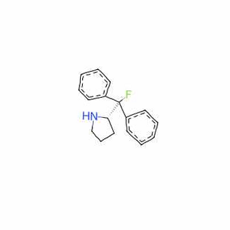 FC(c1ccccc1)(c1ccccc1)[C@@H]1CCCN1